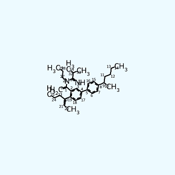 C=C(c1cc(-c2ccc(C(C)CCCC)cc2)ccc1/C(=C\C)CCC)N(CCC)C(=N)C(C)C